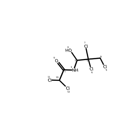 O=C(NC(O)C(Cl)(Cl)CCl)C(Cl)Cl